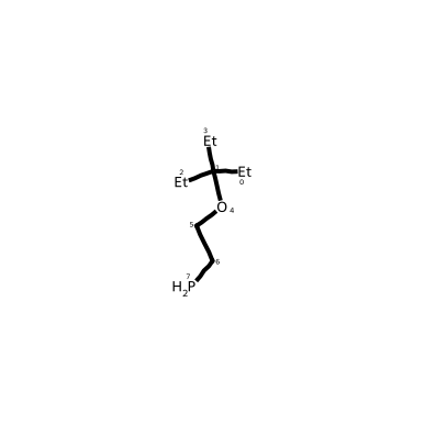 CCC(CC)(CC)OCCP